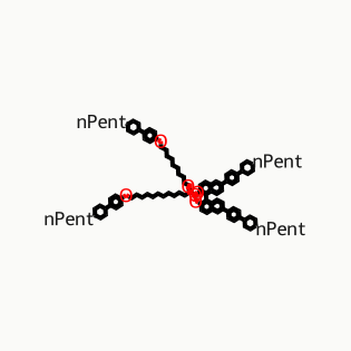 CCCCCC1CCC(c2ccc(OCCCCCCCCCCCC(=O)Oc3ccc4cc(-c5ccc(C6CCC(CCCCC)CC6)cc5)ccc4c3-c3c(OC(=O)CCCCCCCCCCCOc4ccc(C5CCC(CCCCC)CC5)cc4)ccc4cc(-c5ccc(C6CCC(CCCCC)CC6)cc5)ccc34)cc2)CC1